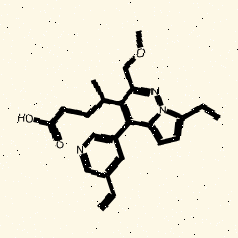 C=Cc1cncc(-c2c(C(C)CCC(=O)O)c(COC)nn3c(CC)ccc23)c1